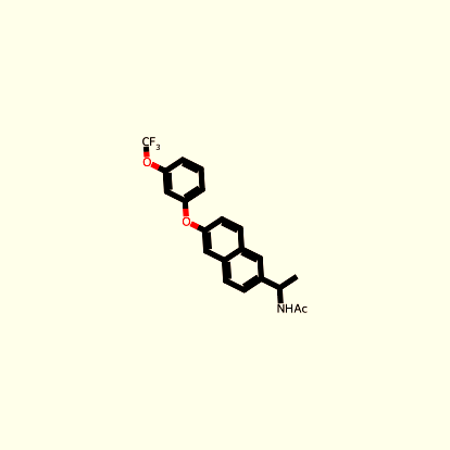 CC(=O)NC(C)c1ccc2cc(Oc3cccc(OC(F)(F)F)c3)ccc2c1